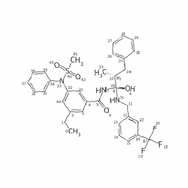 CCc1cc(C(=O)N[C@@](O)(NCc2cccc(C(F)(F)F)c2)[C@H](C)Cc2ccccc2)cc(N(c2ccccc2)S(C)(=O)=O)c1